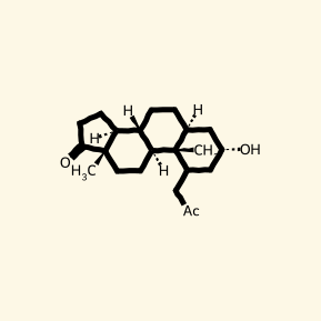 CC(=O)CC1C[C@@H](O)C[C@@H]2CC[C@@H]3[C@H](CC[C@]4(C)C(=O)CC[C@@H]34)[C@@]12C